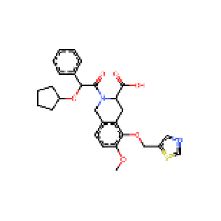 COc1ccc2c(c1OCc1cncs1)CC(C(=O)O)N(C(=O)C(OC1CCCC1)c1ccccc1)C2